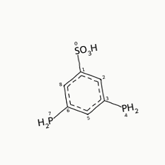 O=S(=O)(O)c1cc(P)cc(P)c1